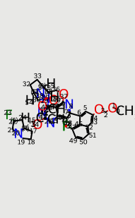 COCOc1cc(-c2nc3c4c(nc(OC[C@]56CCCN5C[C@@H](F)C6)nc4c2F)N2C[C@@H]4CC[C@H]([C@H]2CO3)N4C(=O)OC(C)(C)C)c2c(F)cccc2c1